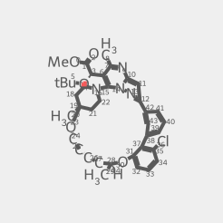 COC(=O)[C@@H](OC(C)(C)C)c1c(C)nc2cc3nn2c1N1CCC(C)(CC1)OCCCC[C@H](C)Oc1cccc(Cl)c1-c1cccc-3c1